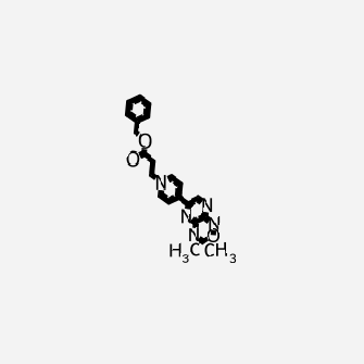 CC1(C)N=c2nc(-c3cc[n+](CCC(=O)OCc4ccccc4)cc3)cnc2=NO1